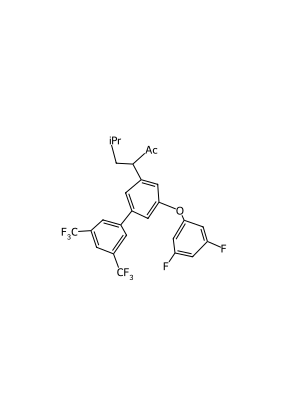 CC(=O)C(CC(C)C)c1cc(Oc2cc(F)cc(F)c2)cc(-c2cc(C(F)(F)F)cc(C(F)(F)F)c2)c1